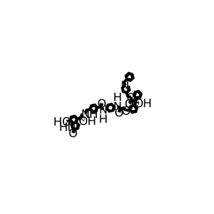 O=C(COc1cccc([C@](O)(C(=O)OCC2CCN(Cc3ccccc3)CC2)c2ccccc2)c1)N[C@H]1CC[C@H](NC(=O)c2ccc(CNC[C@H](O)c3ccc(O)c4[nH]c(=O)ccc34)cc2)CC1